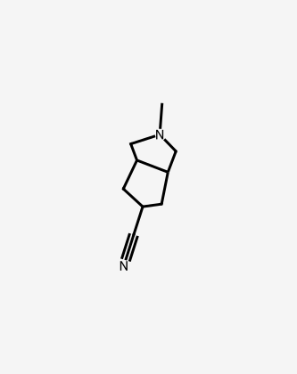 CN1CC2CC(C#N)CC2C1